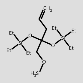 C=CCC(CO[SiH3])(O[Si](CC)(CC)CC)O[Si](CC)(CC)CC